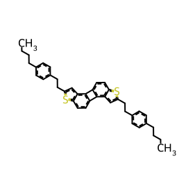 CCCCc1ccc(CCc2cc3c4c(ccc3s2)-c2c-4ccc3sc(CCc4ccc(CCCC)cc4)cc23)cc1